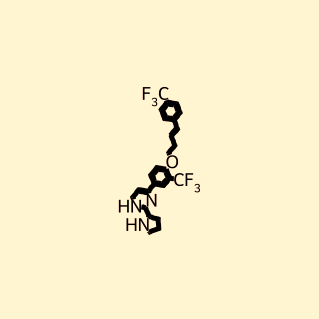 FC(F)(F)c1ccc(/C=C/CCOc2ccc(C3=CCNC(C4CCCN4)=N3)cc2C(F)(F)F)cc1